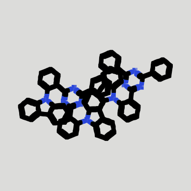 c1ccc(-c2nc(-c3ccccc3-n3c4ccccc4c4ccccc43)nc(-c3ccccc3-n3c4ccccc4c4c3ccc3c5ccccc5n(-c5ccccc5-c5nc(-c6ccccc6)nc(-c6ccccc6)n5)c34)n2)cc1